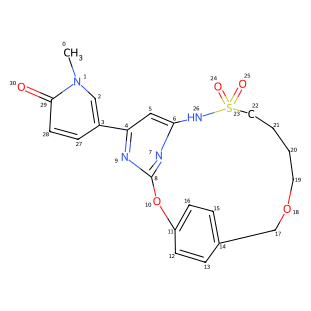 Cn1cc(-c2cc3nc(n2)Oc2ccc(cc2)COCCCCS(=O)(=O)N3)ccc1=O